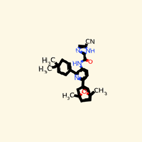 CC1(C)CC=C(c2nc(C3=CC4(C)C=CC(C)(C3)O4)ccc2NC(=O)c2ncc(C#N)[nH]2)CC1